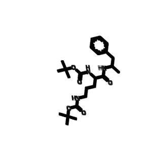 CC(Cc1ccccc1)NC(=O)C(CCCNC(=O)OC(C)(C)C)NC(=O)OC(C)(C)C